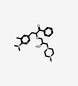 Cc1cc(CC(OCC(O)CN2CCN(C)CC2)C(=O)c2ccccc2)ccc1N(C)C